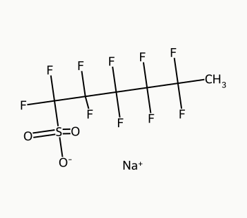 CC(F)(F)C(F)(F)C(F)(F)C(F)(F)C(F)(F)S(=O)(=O)[O-].[Na+]